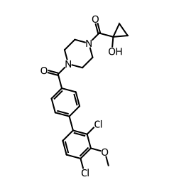 COc1c(Cl)ccc(-c2ccc(C(=O)N3CCN(C(=O)C4(O)CC4)CC3)cc2)c1Cl